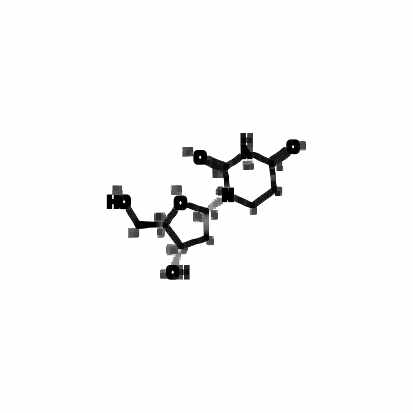 O=C1CCN([C@@H]2C[C@H](O)[C@@H](CO)O2)C(=O)N1